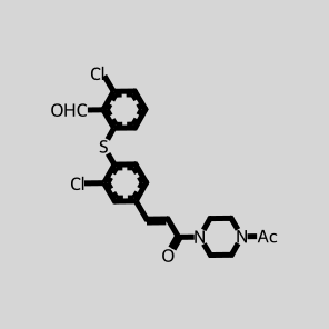 CC(=O)N1CCN(C(=O)C=Cc2ccc(Sc3cccc(Cl)c3C=O)c(Cl)c2)CC1